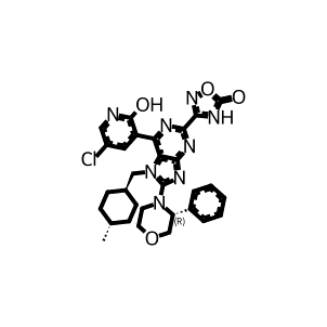 C[C@H]1CC[C@H](Cn2c(N3CCOC[C@H]3c3ccccc3)nc3nc(-c4noc(=O)[nH]4)nc(-c4cc(Cl)cnc4O)c32)CC1